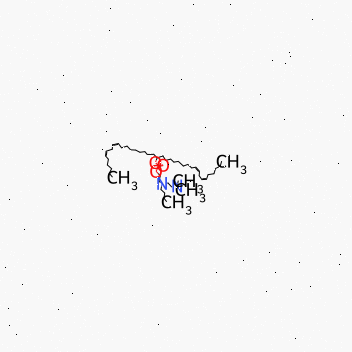 CCCCC/C=C\C/C=C\CCCCCCCCC(CCCCCCCC/C=C\C/C=C\CCCCC)OC(=O)OCCN(CCCC)CCN(C)C